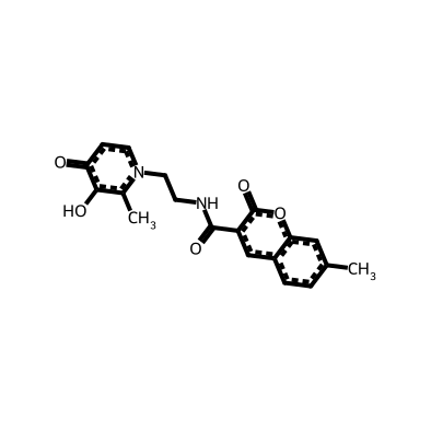 Cc1ccc2cc(C(=O)NCCn3ccc(=O)c(O)c3C)c(=O)oc2c1